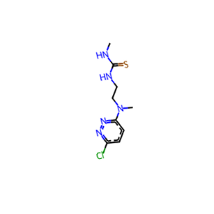 CNC(=S)NCCN(C)c1ccc(Cl)nn1